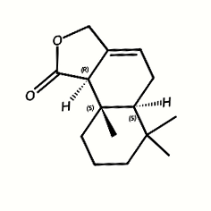 CC1(C)CCC[C@]2(C)[C@H]3C(=O)OCC3=CC[C@@H]12